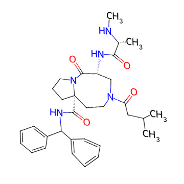 CN[C@H](C)C(=O)N[C@@H]1CN(C(=O)CC(C)C)CC[C@@]2(C(=O)NC(c3ccccc3)c3ccccc3)CCCN2C1=O